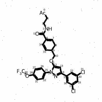 CC(=O)CCNC(=O)C1=CCC(COc2cc(-c3cc(Cl)cc(Cl)c3)nn2-c2ccc(OC(F)(F)F)cc2)C=C1